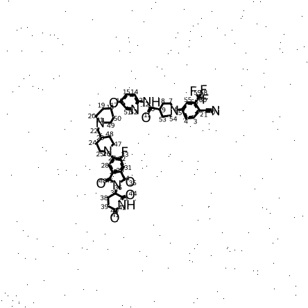 N#Cc1ccc(N2CCC(C(=O)Nc3ccc(OC4CCN(CC5CCN(c6cc7c(cc6F)C(=O)N(C6CCC(=O)NC6=O)C7=O)CC5)CC4)cn3)CC2)cc1C(F)(F)F